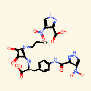 CCCNc1c(N[C@@H](Cc2ccc(NC(=O)c3n[nH]cc3[N+](=O)[O-])cc2)C(=O)O)c(=O)c1=O.O=C(O)c1n[nH]cc1[N+](=O)[O-]